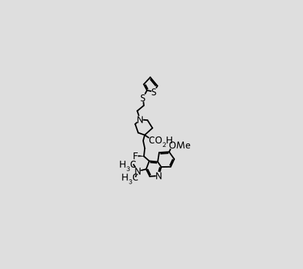 COc1ccc2ncc(N(C)C)c([C@@H](F)CCC3(C(=O)O)CCN(CCSc4cccs4)CC3)c2c1